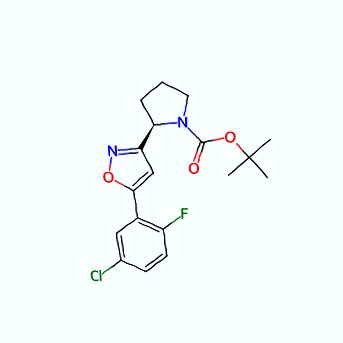 CC(C)(C)OC(=O)N1CCC[C@@H]1c1cc(-c2cc(Cl)ccc2F)on1